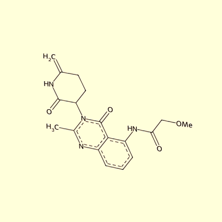 C=C1CCC(n2c(C)nc3cccc(NC(=O)COC)c3c2=O)C(=O)N1